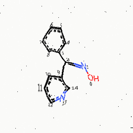 ON=C(c1ccccc1)c1cccnc1